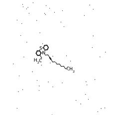 CCCCCCCCC#CCCN1c2ccccc2Sc2cccc(CC)c21